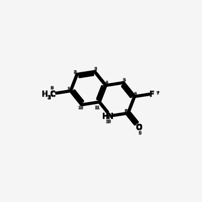 Cc1ccc2cc(F)c(=O)[nH]c2c1